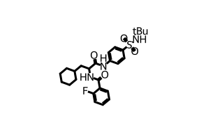 CC(C)(C)NS(=O)(=O)c1ccc(NC(=O)C(CC2CCCCC2)NC(=O)c2ccccc2F)cc1